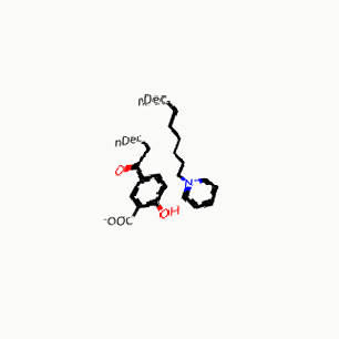 CCCCCCCCCCCC(=O)c1ccc(O)c(C(=O)[O-])c1.CCCCCCCCCCCCCCCC[n+]1ccccc1